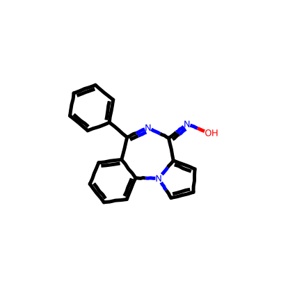 O/N=c1/nc(-c2ccccc2)c2ccccc2n2cccc12